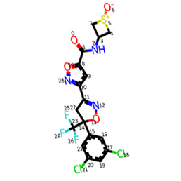 O=C(NC1C[S+]([O-])C1)c1cc(C2=NOC(c3cc(Cl)cc(Cl)c3)(C(F)(F)F)C2)no1